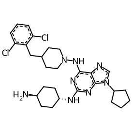 N[C@H]1CC[C@H](Nc2nc(NN3CCC(Cc4c(Cl)cccc4Cl)CC3)c3ncn(C4CCCC4)c3n2)CC1